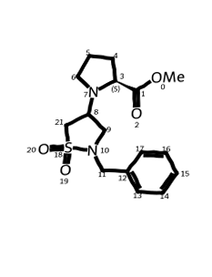 COC(=O)[C@@H]1CCCN1C1CN(Cc2ccccc2)S(=O)(=O)C1